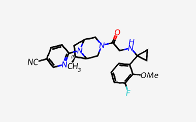 COc1c(F)cccc1C1(NCC(=O)N2CC3C[C@H](C)C(C2)N3c2ccc(C#N)cn2)CC1